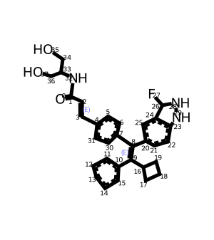 O=C(/C=C/c1ccc(/C(=C(\c2ccccc2)C2CCC2)c2ccc3c(c2)C(F)NN3)cc1)NC(CO)CO